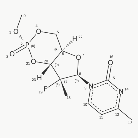 CO[P@]1(=O)OC[C@H]2O[C@@H](n3ccc(C)nc3=O)[C@](C)(F)[C@@H]2O1